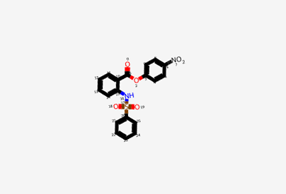 O=C(Oc1ccc([N+](=O)[O-])cc1)c1ccccc1NS(=O)(=O)c1ccccc1